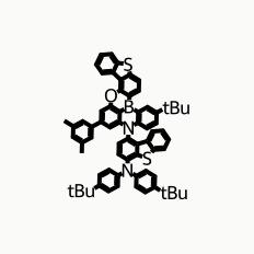 Cc1cc(C)cc(-c2cc3c4c(c2)N(c2ccc(N(c5ccc(C(C)(C)C)cc5)c5ccc(C(C)(C)C)cc5)c5sc6ccccc6c25)c2ccc(C(C)(C)C)cc2B4c2ccc4sc5ccccc5c4c2O3)c1